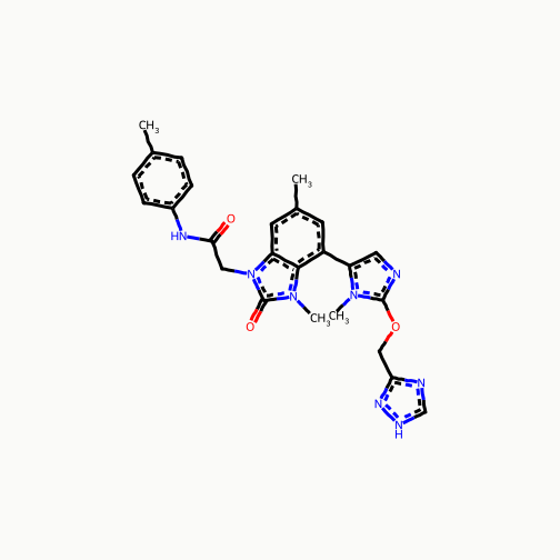 Cc1ccc(NC(=O)Cn2c(=O)n(C)c3c(-c4cnc(OCc5nc[nH]n5)n4C)cc(C)cc32)cc1